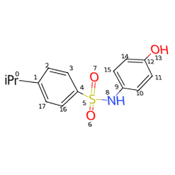 CC(C)c1ccc(S(=O)(=O)Nc2ccc(O)cc2)cc1